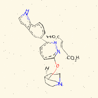 O=C(O)/C=C/C(=O)O.c1cc2cc(-c3ccc(O[C@H]4CN5CCC4CC5)nn3)ccc2[nH]1